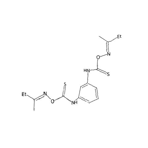 CCC(C)=NOC(=S)Nc1cccc(NC(=S)ON=C(C)CC)c1